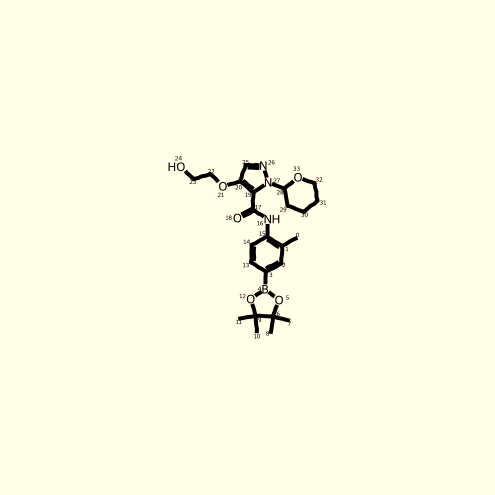 Cc1cc(B2OC(C)(C)C(C)(C)O2)ccc1NC(=O)c1c(OCCO)cnn1C1CCCCO1